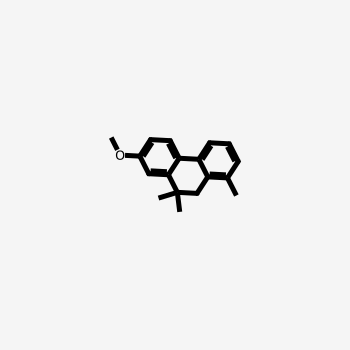 COc1ccc2c(c1)C(C)(C)Cc1c(C)cccc1-2